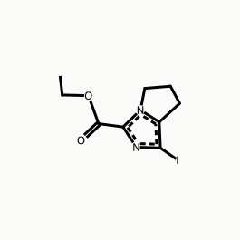 CCOC(=O)c1nc(I)c2n1CCC2